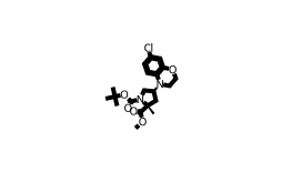 COC(=O)[C@@]1(C)C[C@H](N2CCOc3cc(Cl)ccc32)CN1C(=O)OC(C)(C)C